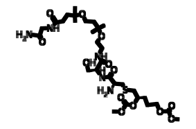 COC(=O)OCCC[C@H](CSC[C@H](N)C(=O)N[C@@H](CO)C(=O)NCCOC(C)(C)CCOC(C)(C)CCC(=O)NCC(N)=O)OC(=O)OC